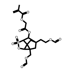 C=C(C)C(=O)OCC(=O)OC1C2C34CC1(CCOC=O)CC3(COC=O)C4OS2(=O)=O